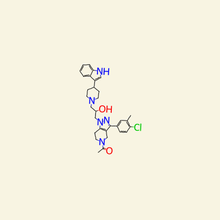 CC(=O)N1CCc2c(c(-c3ccc(Cl)c(C)c3)nn2CC(O)CN2CCC(c3c[nH]c4ccccc34)CC2)C1